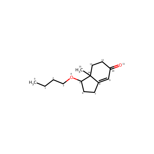 CCCCOC1CCC2=CC(=O)CCC21C